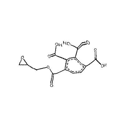 O=C(O)c1ccc(C(=O)OCC2CO2)c(C(=O)O)c1C(=O)O